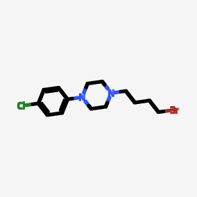 Clc1ccc(N2CCN(CCCCBr)CC2)cc1